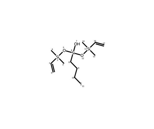 C=C[Si](C)(C)O[Si](O)(CCCI)O[Si](C)(C)C=C